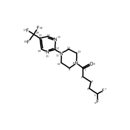 O=C(CCCC(F)F)N1CCN(c2ncc(C(F)(F)F)cn2)CC1